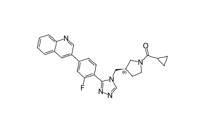 O=C(C1CC1)N1CC[C@@H](Cn2cnnc2-c2ccc(-c3cnc4ccccc4c3)cc2F)C1